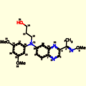 CO/N=C(\C)c1cnc2ccc(N(CCCO)c3cc(OC)cc(OC)c3)cc2n1